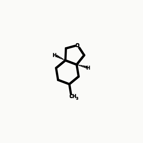 CC1CC[C@H]2COC[C@H]2C1